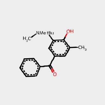 CNC.Cc1cc(C(=O)c2ccccc2)cc(C(C)(C)C)c1O